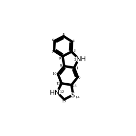 C1=c2[nH]c3ccccc3c2=CC2NCSC12